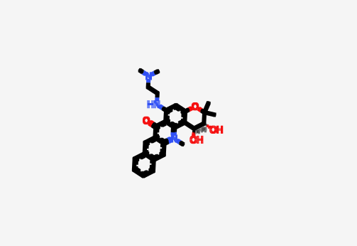 CN(C)CCNc1cc2c(c3c1c(=O)c1cc4ccccc4cc1n3C)[C@H](O)[C@@H](O)C(C)(C)O2